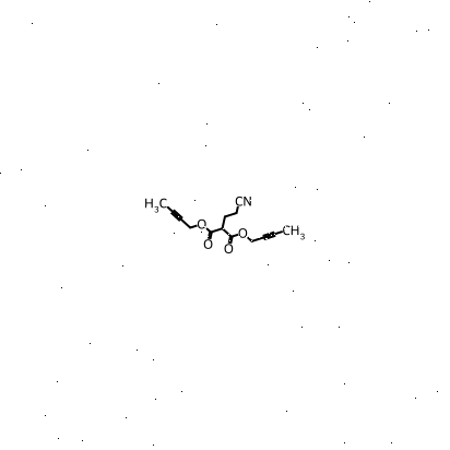 CC#CCOC(=O)C(CCC#N)C(=O)OCC#CC